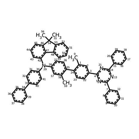 Cc1cc(-c2nc(-c3ccccc3)nc(-c3ccccc3)n2)ccc1-c1ccc(N(c2ccc(-c3ccccc3)cc2)c2cccc3c2-c2ccccc2C3(C)C)cc1C